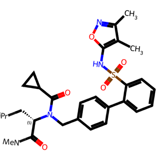 CNC(=O)[C@H](CC(C)C)N(Cc1ccc(-c2ccccc2S(=O)(=O)Nc2onc(C)c2C)cc1)C(=O)C1CC1